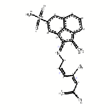 C=C(/C=C(\C=C/C/N=c1\c(=C)c2cccc3cc(S(N)(=O)=O)cc1c32)CCC)CC